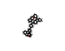 c1ccc(-n2c3ccccc3c3ccc(N(c4ccc(-c5ccc6c(c5)-c5cccc7c5C65C6CC8CC(C6)C7C5C8)cc4)c4cccc5ccccc45)cc32)cc1